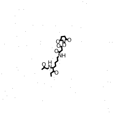 CCC(=O)C(CCCCNC(=O)CC(=O)ON1C(=O)CCC1=O)NCC(C)=O